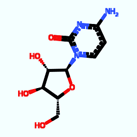 Nc1ccn([C@H]2O[C@H](CO)[C@@H](O)[C@@H]2O)c(=O)n1